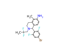 Cc1c(N)ccc2c1CCN(CC(C)(F)F)C2c1c(F)cc(Br)cc1F